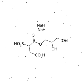 O=C(O)CC(C(=O)OCC(O)CO)S(=O)(=O)O.[NaH].[NaH]